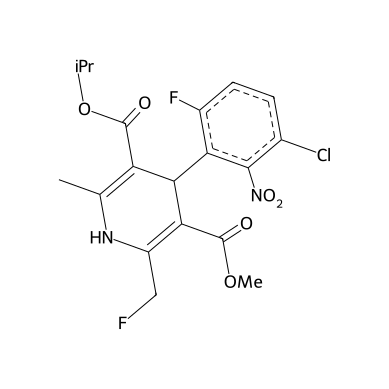 COC(=O)C1=C(CF)NC(C)=C(C(=O)OC(C)C)C1c1c(F)ccc(Cl)c1[N+](=O)[O-]